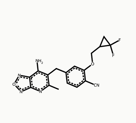 Cc1nc2nonc2c(N)c1Cc1ccc(C#N)c(OCC2CC2(F)F)c1